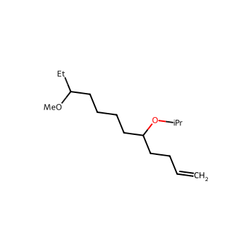 [CH2]CC(CCCCC(CCC=C)OC(C)C)OC